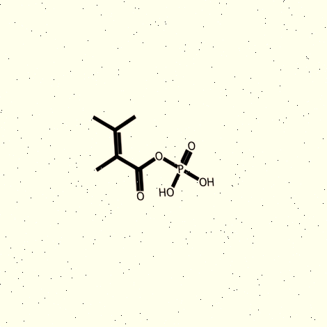 CC(C)=C(C)C(=O)OP(=O)(O)O